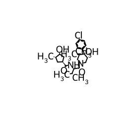 CC(C)[C@@H](NC(=O)[C@H]1C[C@H](C)[C@@H](O)C1)C(=O)N1CC[C@](O)(c2ccc(Cl)cc2)C(C)(C)C1